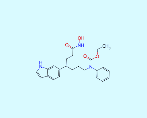 CCOC(=O)N(CCCC(CCC(=O)NO)c1ccc2cc[nH]c2c1)c1ccccc1